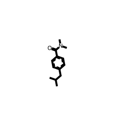 CC(C)Cc1ccc(C(=O)N(C)C)cc1